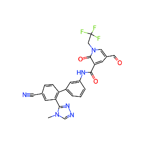 Cn1cnnc1-c1cc(C#N)ccc1-c1cccc(NC(=O)c2cc(C=O)cn(CC(F)(F)F)c2=O)c1